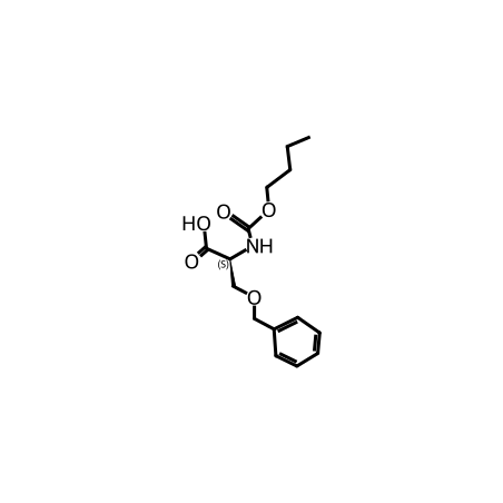 CCCCOC(=O)N[C@@H](COCc1ccccc1)C(=O)O